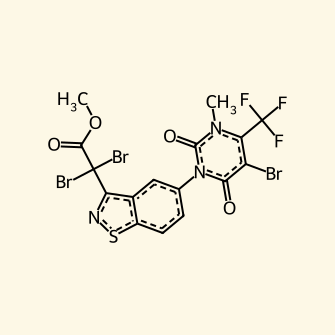 COC(=O)C(Br)(Br)c1nsc2ccc(-n3c(=O)c(Br)c(C(F)(F)F)n(C)c3=O)cc12